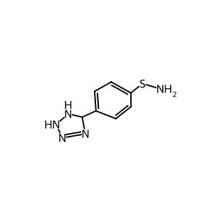 NSc1ccc(C2N=NNN2)cc1